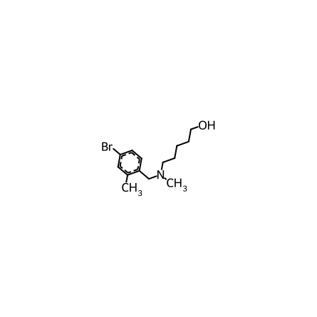 Cc1cc(Br)ccc1CN(C)CCCCCO